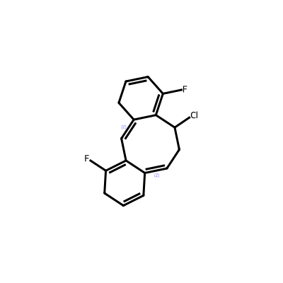 FC1=C2/C(=C\C3=C(F)CC=C/C3=C/CC2Cl)CC=C1